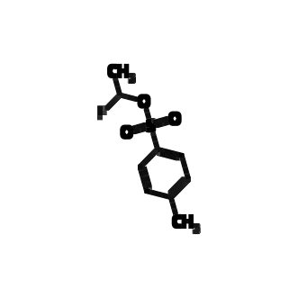 Cc1ccc(S(=O)(=O)OC(C)F)cc1